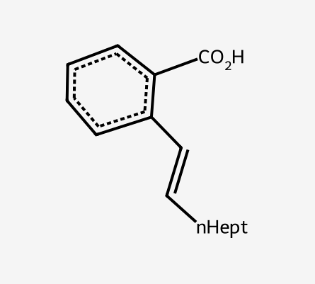 CCCCCCC/C=C/c1ccccc1C(=O)O